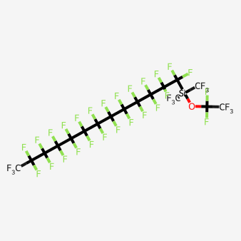 FC(F)(F)C(F)(F)O[Si](C(F)(F)F)(C(F)(F)F)C(F)(F)C(F)(F)C(F)(F)C(F)(F)C(F)(F)C(F)(F)C(F)(F)C(F)(F)C(F)(F)C(F)(F)C(F)(F)C(F)(F)C(F)(F)F